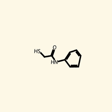 O=C(CS)Nc1ccccc1